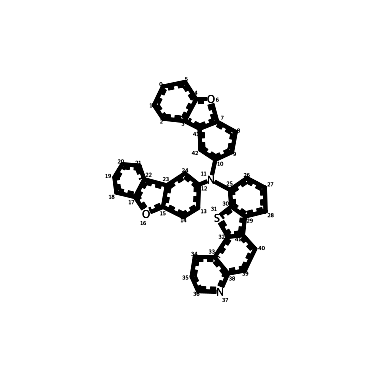 c1ccc2c(c1)oc1ccc(N(c3ccc4oc5ccccc5c4c3)c3cccc4c3sc3c5cccnc5ccc43)cc12